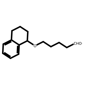 O=[C]CCCCOC1CCCc2ccccc21